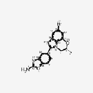 C[C@@H]1Cn2c(-c3ccc4oc(N)nc4c3)nc3cc(Br)cc(c32)O1